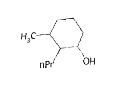 CCCC1C(C)CCCC1O